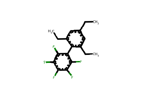 CCc1cc(CC)c(-c2c(F)c(F)c(F)c(F)c2F)c(CC)c1